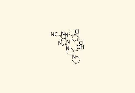 C[C@H](c1ccc(Cl)cc1Cl)n1nc(C#N)c2ncc(N3CCC(N4CCCCC4)[C@H](CO)C3)nc21